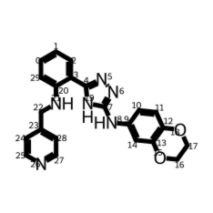 c1ccc(-c2nnc(Nc3ccc4c(c3)OCCO4)[nH]2)c(NCc2ccncc2)c1